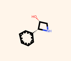 O[C@@H]1CN[C@@H]1c1ccccc1